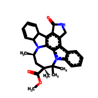 COC(=O)[C@@]1(C)C[C@@H](C)N2c3c(c4c(c5c6ccccc6n(c35)C1(C)C)CNC4=O)C1C=CC=CC12